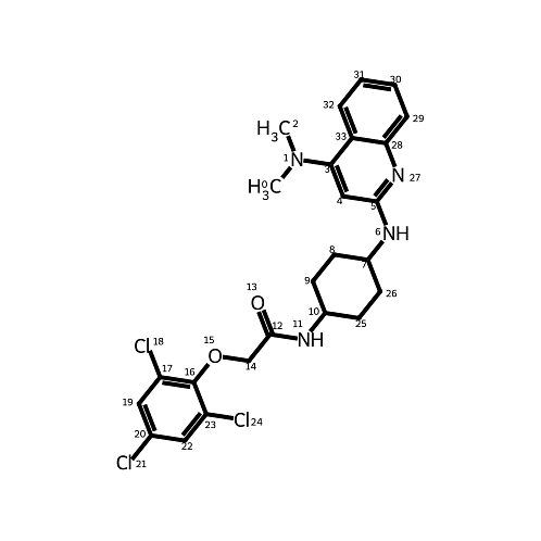 CN(C)c1cc(NC2CCC(NC(=O)COc3c(Cl)cc(Cl)cc3Cl)CC2)nc2ccccc12